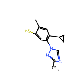 Cc1cc(C2CC2)c(-n2cnc(C(F)(F)F)n2)cc1S